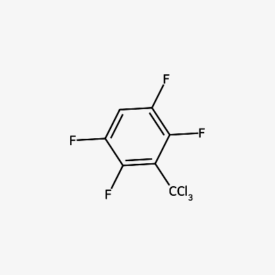 Fc1cc(F)c(F)c(C(Cl)(Cl)Cl)c1F